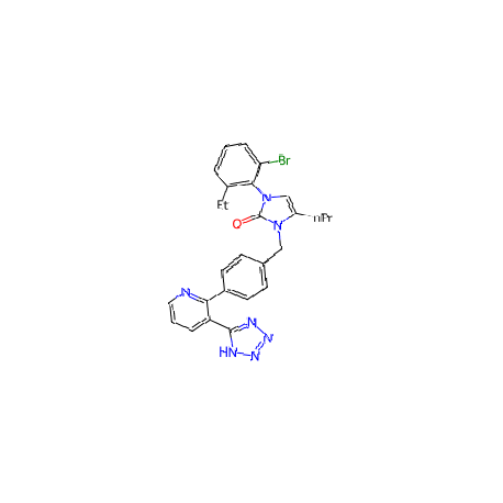 CCCc1cn(-c2c(Br)cccc2CC)c(=O)n1Cc1ccc(-c2ncccc2-c2nnn[nH]2)cc1